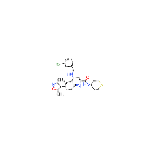 Cc1noc(C)c1-c1ccc2nc(C(=O)NC3CCSCC3)cc(NCc3cccc(Cl)c3)c2c1